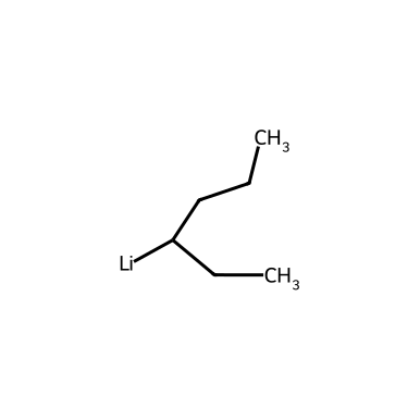 [Li][CH](CC)CCC